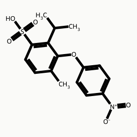 Cc1ccc(S(=O)(=O)O)c(C(C)C)c1Oc1ccc([N+](=O)[O-])cc1